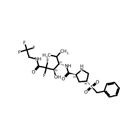 CC(C)[C@H](NC(=O)[C@@H]1C[C@@H](S(=O)(=O)Cc2ccccc2)CN1)[C@@H](O)C(F)(F)C(=O)NCC(F)(F)F